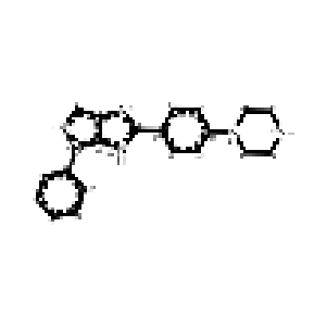 c1ccc(-n2ncc3nc(-c4ccc(N5CCNCC5)cc4)[nH]c32)cc1